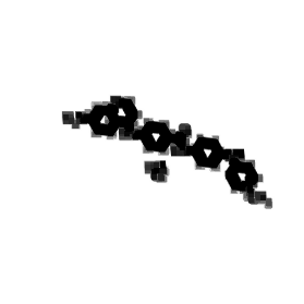 C[n+]1ccc(Nc2ccc(NC(=O)c3ccc(Nc4ccnc5cc(N)ccc45)cc3)cc2)cc1.Cl.[Cl-]